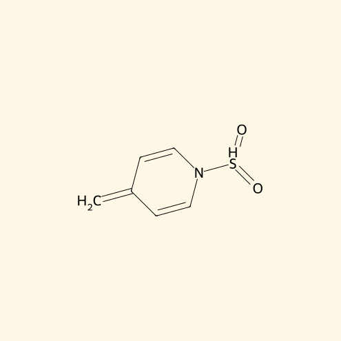 C=C1C=CN([SH](=O)=O)C=C1